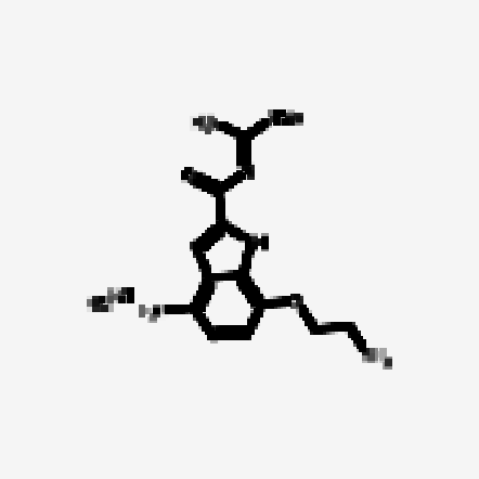 CNC(N)=NC(=O)c1cc2c(C(F)(F)F)ccc(OCCN)c2[nH]1.Cl.Cl